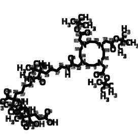 CC(C)(C)OC(=O)CN1CCN(CC(=O)NCCCCC(N)(C(=O)NCCCCC(NC(=O)NC(CCC(=O)O)(C(=O)O)C(C)(C)C)(C(=O)O)C(C)(C)C)C(C)(C)C)CCN(CC(=O)OC(C)(C)C)CCN(CC(=O)OC(C)(C)C)CC1